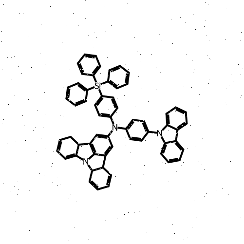 C1=CCC2C(=C1)N1c3c2cc(N(c2ccc(-n4c5ccccc5c5ccccc54)cc2)c2ccc([Si](c4ccccc4)(c4ccccc4)c4ccccc4)cc2)cc3C2C=CC=CC21